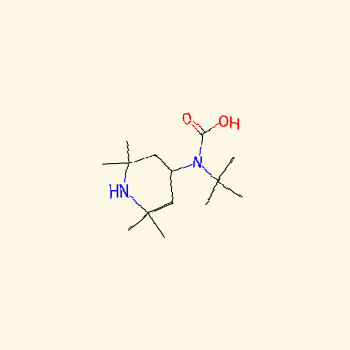 CC1(C)CC(N(C(=O)O)C(C)(C)C)CC(C)(C)N1